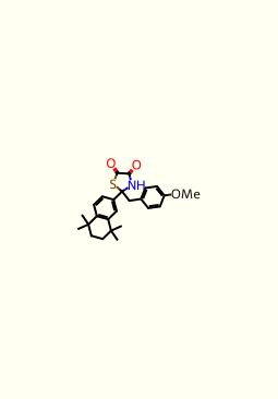 COc1ccc(CC2(c3ccc4c(c3)C(C)(C)CCC4(C)C)NC(=O)C(=O)S2)cc1